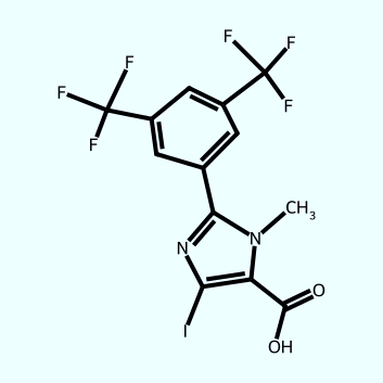 Cn1c(-c2cc(C(F)(F)F)cc(C(F)(F)F)c2)nc(I)c1C(=O)O